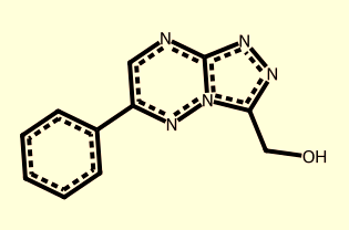 OCc1nnc2ncc(-c3ccccc3)nn12